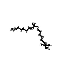 NCCCCCOC(=O)OCCCCCCC(F)(F)C(F)(F)F